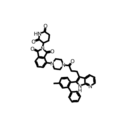 Cc1ccc(-c2[nH]c3ncccc3c2CCC(=O)N2CCN(c3cccc4c3C(=O)N(C3CCC(=O)NC3=O)C4=O)CC2)c(-c2ccccc2)c1